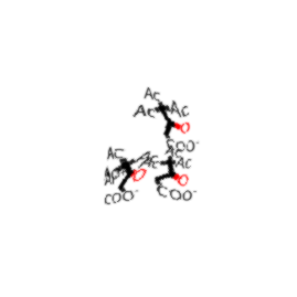 CC(=O)C(C(C)=O)(C(C)=O)C(=O)CC(=O)[O-].CC(=O)C(C(C)=O)(C(C)=O)C(=O)CC(=O)[O-].CC(=O)C(C(C)=O)(C(C)=O)C(=O)CC(=O)[O-].[Al+3]